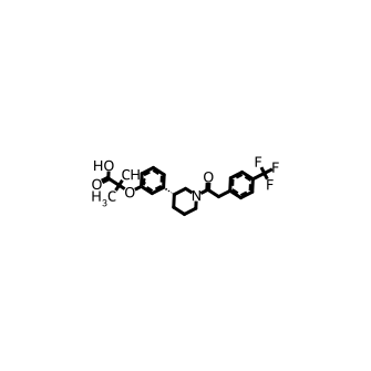 CC(C)(Oc1cccc([C@H]2CCCN(C(=O)Cc3ccc(C(F)(F)F)cc3)C2)c1)C(=O)O